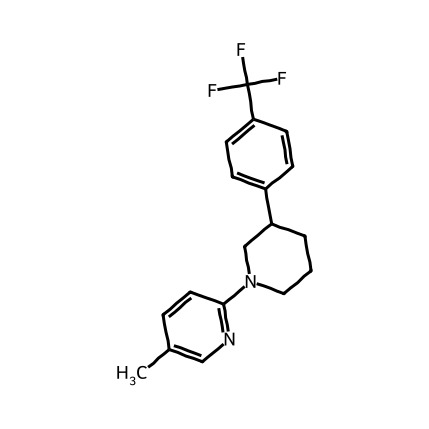 Cc1ccc(N2CCCC(c3ccc(C(F)(F)F)cc3)C2)nc1